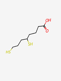 O=C(O)CCCC(S)CCCS